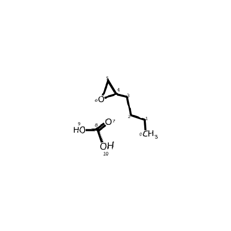 CCCCC1CO1.O=C(O)O